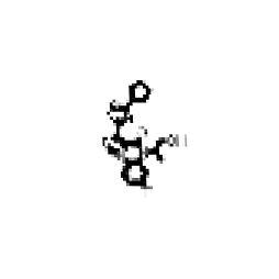 CC(CO)n1c(=O)c2c(-c3noc(C4CCCC4)n3)ncn2c2ccc(F)cc21